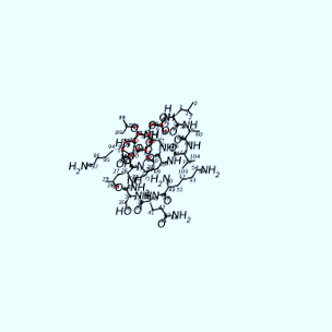 CC(C)C[C@H](NC(=O)CNC(=O)[C@@H]1CCCN1C(=O)[C@@H]1CCCN1C(=O)[C@H](CC(C)C)NC(=O)[C@H](CO)NC(=O)[C@H](CCC(N)=O)NC(=O)[C@@H](N)CCCCN)C(=O)N[C@@H](C)C(=O)N[C@H](C(=O)N[C@@H](CCCCN)C(=O)N[C@@H](CC(=O)O)C(=O)N[C@@H](CC(C)C)C(=O)N[C@@H](CCCCN)C(=O)O)C(C)C